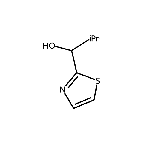 C[C](C)C(O)c1nccs1